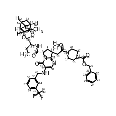 CC[C@H](NC(=O)[C@@H]1C[C@@](C)(CC(=O)N2CCN(C(=O)OCc3ccccc3)CC2)c2ncc(NCc3cccc(C(F)(F)F)c3)c(=O)n21)B1O[C@@H]2C[C@@H]3C[C@@H](C3(C)C)[C@]2(C)O1